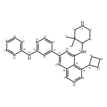 CC1(C)CNCCC1Nc1nc(-c2ccnc(Nc3ccccn3)c2)nc2cncc(C3CCC3)c12